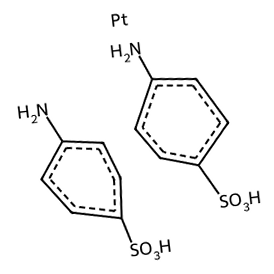 Nc1ccc(S(=O)(=O)O)cc1.Nc1ccc(S(=O)(=O)O)cc1.[Pt]